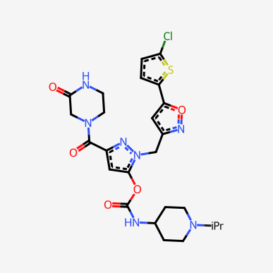 CC(C)N1CCC(NC(=O)Oc2cc(C(=O)N3CCNC(=O)C3)nn2Cc2cc(-c3ccc(Cl)s3)on2)CC1